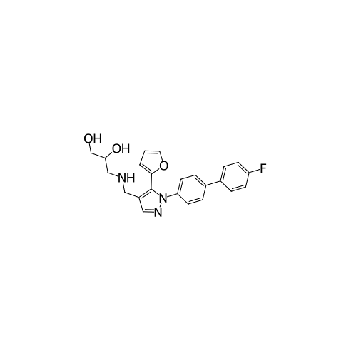 OCC(O)CNCc1cnn(-c2ccc(-c3ccc(F)cc3)cc2)c1-c1ccco1